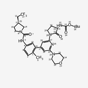 Cc1ccc(NC(=O)N2CC[C@@H](CC(F)(F)F)C2)cc1-c1cc(N2CCOCC2)nc(N2CC[C@H](NC(=O)OC(C)(C)C)C2=O)c1